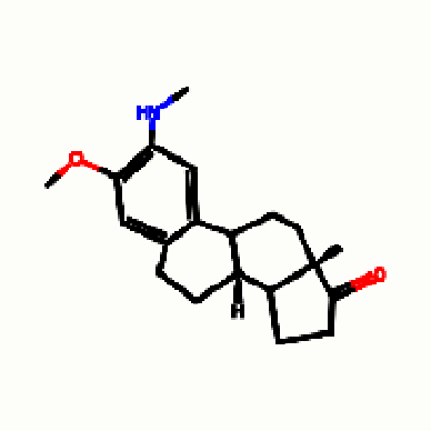 CNc1cc2c(cc1OC)CC[C@@H]1C2CC[C@]2(C)C(=O)CCC12